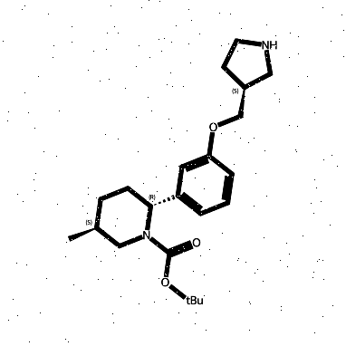 C[C@H]1CC[C@H](c2cccc(OC[C@H]3CCNC3)c2)N(C(=O)OC(C)(C)C)C1